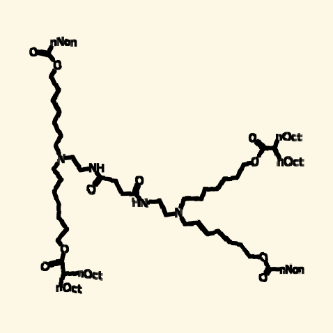 CCCCCCCCCC(=O)OCCCCCCCN(CCCCCCCOC(=O)C(CCCCCCCC)CCCCCCCC)CCNC(=O)CCC(=O)NCCN(CCCCCCCOC(=O)CCCCCCCCC)CCCCCCCOC(=O)C(CCCCCCCC)CCCCCCCC